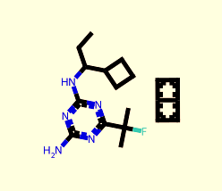 CCC(Nc1nc(N)nc(C(C)(C)F)n1)C1CCC1.c1cc2ccc1-2